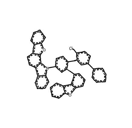 Clc1ccc(-c2ccccc2)cc1-c1ccc(-n2c3ccccc3c3ccc4c5ccccc5oc4c32)cc1-c1cccc2oc3ccccc3c12